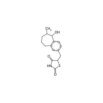 CC1CCCc2cc(CC3SC(=O)NC3=O)ccc2C1O